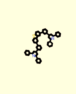 C1=CCC(c2cc(-c3cccc(-c4ccc5sc6ccc(-c7cccc(-c8cc(-c9ccccc9)nc(-c9ccccc9)c8)c7)cc6c5c4)c3)cc(-c3ccccc3)n2)C=C1